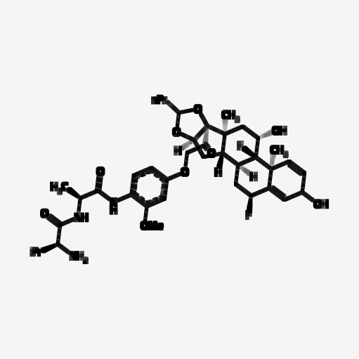 CCCC1O[C@@H]2C[C@H]3[C@@H]4C[C@H](F)C5=CC(O)C=C[C@]5(C)[C@@]4(F)[C@@H](O)C[C@]3(C)[C@]2(C(=O)COc2ccc(NC(=O)[C@H](C)NC(=O)[C@@H](N)C(C)C)c(OC)c2)O1